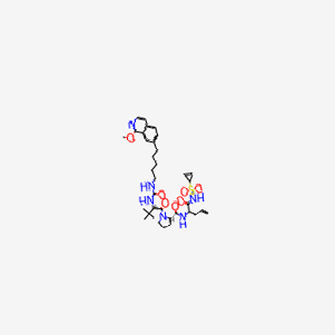 C=CCC(NC(=O)[C@@H]1CCCN1C(=O)[C@@H](NC(=O)NCCCCCc1ccc2ccnc(OC)c2c1)C(C)(C)C)C(=O)NS(=O)(=O)C1CC1